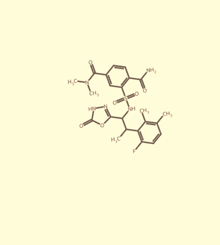 Cc1ccc(F)c(C(C)C(NS(=O)(=O)c2cc(C(=O)N(C)C)ccc2C(N)=O)c2n[nH]c(=O)o2)c1C